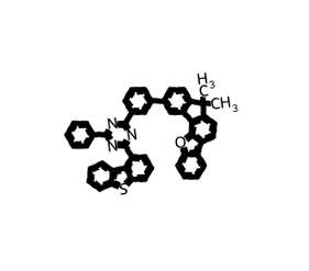 CC1(C)c2ccc(-c3cccc(-c4nc(-c5ccccc5)nc(-c5cccc6sc7ccccc7c56)n4)c3)cc2-c2c1ccc1c2oc2ccccc21